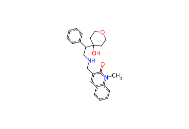 Cn1c(=O)c(CNCC(c2ccccc2)C2(O)CCOCC2)cc2ccccc21